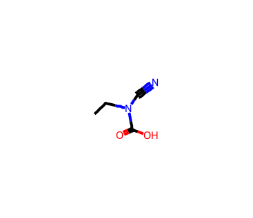 CCN(C#N)C(=O)O